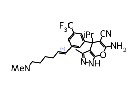 CNCCCC/C=C/c1cc(C(F)(F)F)cc(C2(C(C)C)C(C#N)=C(N)Oc3[nH]nc(C)c32)c1